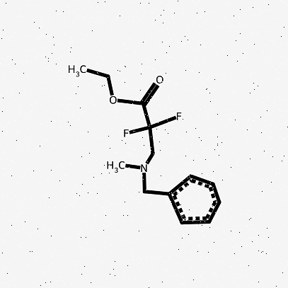 CCOC(=O)C(F)(F)CN(C)Cc1ccccc1